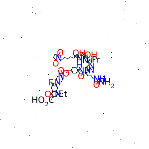 CCn1cc(C(=O)O)c(=O)c2c1C=C(N1CCN(C(=O)OCC3=CC[C@@H](NC(=O)[C@H](CCCNC(N)=O)n4cc([C@@H](N[C@H](O)[C@@H](C)N[C@@H](O)CCCCCN5C(=O)CCC5=O)C(C)C)nn4)C=C3)CC1)[C@H](F)C2